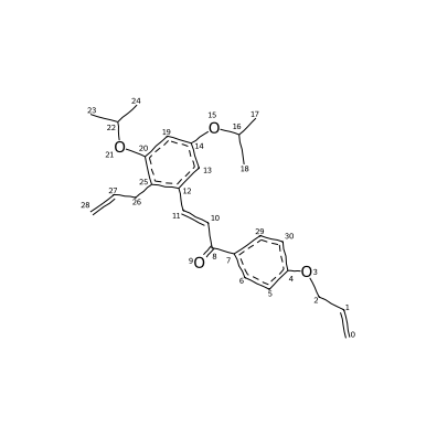 C=CCOc1ccc(C(=O)/C=C/c2cc(OC(C)C)cc(OC(C)C)c2CC=C)cc1